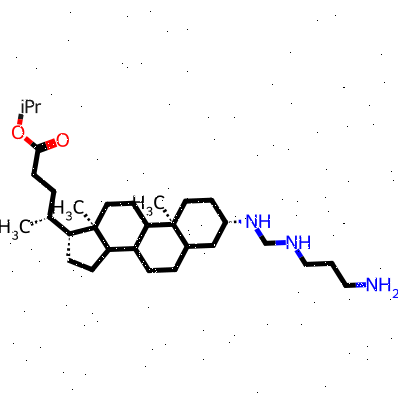 CC(C)OC(=O)CC[C@@H](C)[C@H]1CCC2C3CCC4C[C@@H](NCNCCCN)CC[C@]4(C)C3CC[C@@]21C